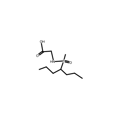 CCCC(CCC)P(C)(=O)NCC(=O)O